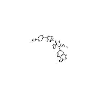 C=C(C(=O)Nc1nc(-c2ccc(Cl)cc2)cs1)c1ccc2c(c1)OCO2